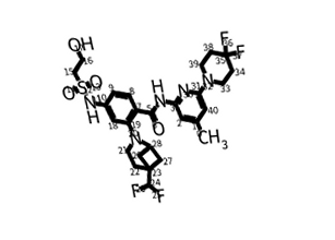 Cc1cc(NC(=O)c2ccc(NS(=O)(=O)CCO)cc2N2CCC3(C(F)F)CC2C3)nc(N2CCC(F)(F)CC2)c1